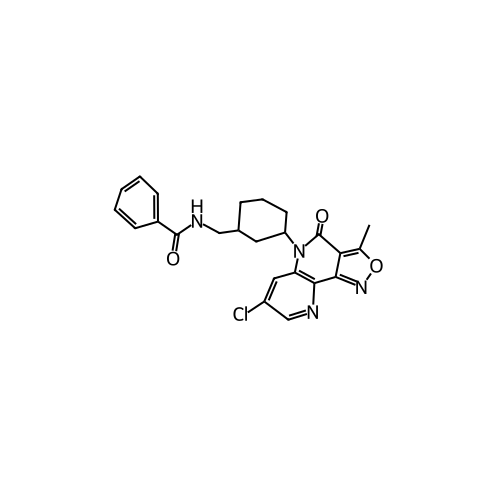 Cc1onc2c1c(=O)n(C1CCCC(CNC(=O)c3ccccc3)C1)c1cc(Cl)cnc21